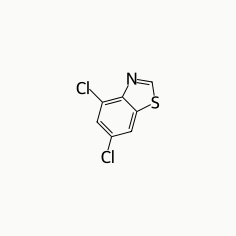 Clc1cc(Cl)c2ncsc2c1